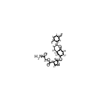 Cc1ccc(F)cc1C1CCc2cc(Oc3ncc(C(=O)OCC(N)=O)s3)ccc2O1